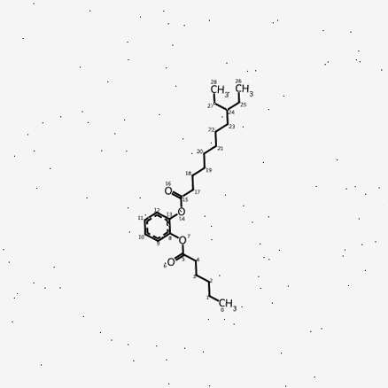 CCCCCC(=O)Oc1ccccc1OC(=O)CCCCCCCC(CC)CC